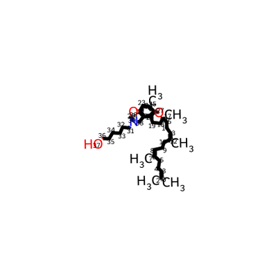 CC(C)=CCCC(C)=CCCC(C)=CCC[C@]1(C)CCc2c3c(cc(C)c2O1)OCN(CCCCCCO)C3